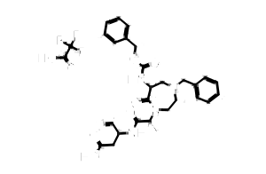 C[C@@H](C(=O)NC(C=O)CC(=O)O)N1CCN(Cc2ccccc2)CC(NC(=O)OCc2ccccc2)C1=O.O=C(O)C(F)(F)F